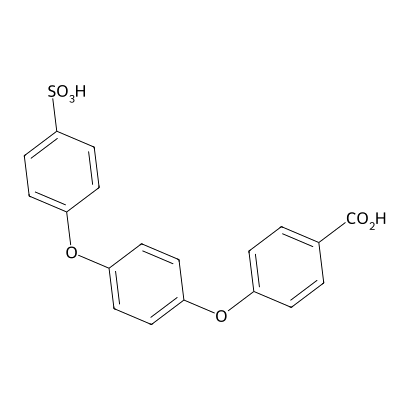 O=C(O)c1ccc(Oc2ccc(Oc3ccc(S(=O)(=O)O)cc3)cc2)cc1